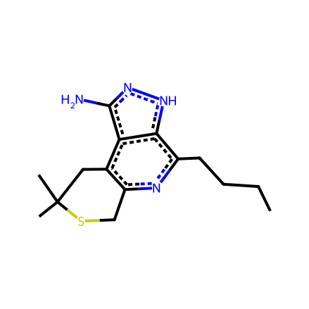 CCCCc1nc2c(c3c(N)n[nH]c13)CC(C)(C)SC2